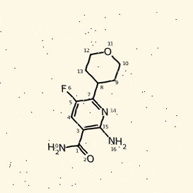 NC(=O)c1cc(F)c(C2CCOCC2)nc1N